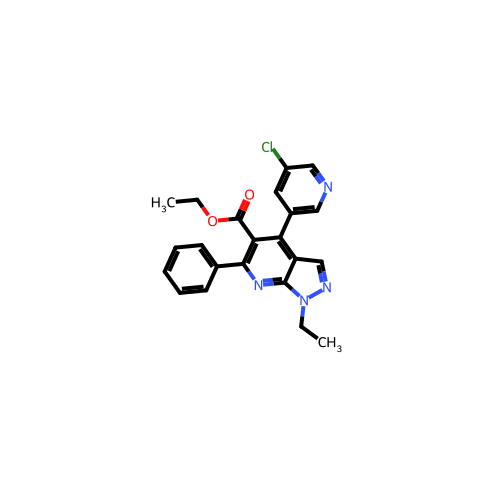 CCOC(=O)c1c(-c2ccccc2)nc2c(cnn2CC)c1-c1cncc(Cl)c1